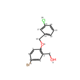 OCc1cc(Br)ccc1OCc1cccc(Cl)c1